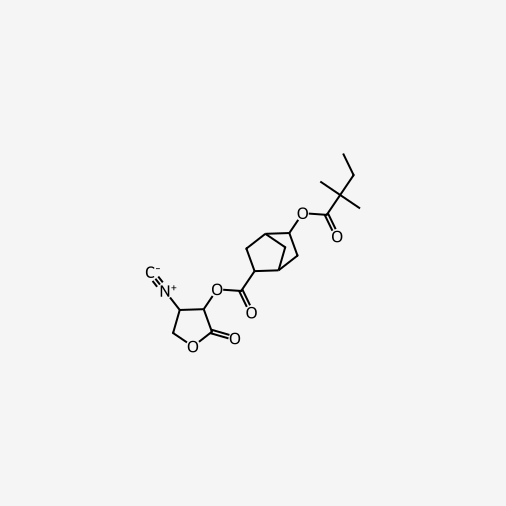 [C-]#[N+]C1COC(=O)C1OC(=O)C1CC2CC1CC2OC(=O)C(C)(C)CC